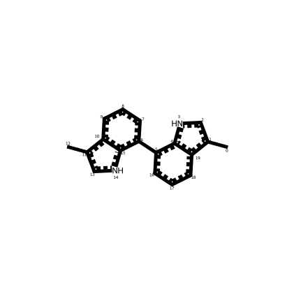 Cc1c[nH]c2c(-c3cccc4c(C)c[nH]c34)cccc12